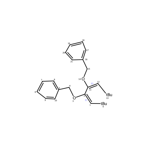 CC(C)(C)/C=C(OCc1ccccc1)\C(=C/C(C)(C)C)OCc1ccccc1